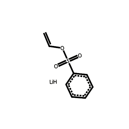 C=COS(=O)(=O)c1ccccc1.[LiH]